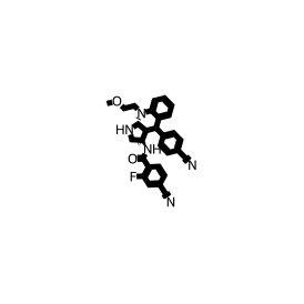 COCCN(C)c1ccccc1C(c1ccc(C#N)cc1)C1CNC[C@@H]1NC(=O)c1ccc(C#N)cc1F